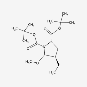 CC[C@@H]1C[C@@H](C(=O)OC(C)(C)C)N(C(=O)OC(C)(C)C)C1OC